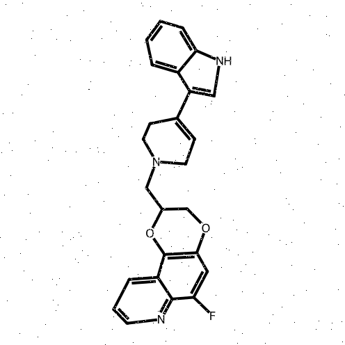 Fc1cc2c(c3cccnc13)OC(CN1CC=C(c3c[nH]c4ccccc34)CC1)CO2